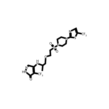 CC(COCCS(=O)(=O)N1CCN(c2ncc(C(F)(F)F)s2)CC1)Nc1cn[nH]c(=O)c1C(F)(F)F